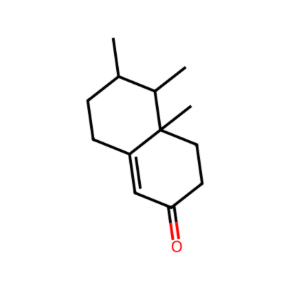 CC1CCC2=CC(=O)CCC2(C)C1C